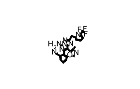 Cc1ncoc1-c1c(-c2ccccc2C#N)nc(N)n2nc(Cc3cccc(C(F)(F)F)n3)nc12